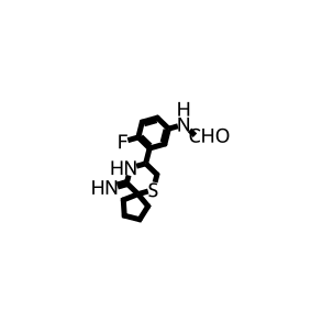 N=C1NC(c2cc(NC=O)ccc2F)CSC12CCCC2